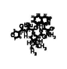 CC(C)(C)[C@H](NC(=O)C1CCOC1)C(=O)N1C[C@H]2[C@@H]([C@H]1C(=O)NC(C(N)=O)c1nncc3ccccc13)C2(C)C